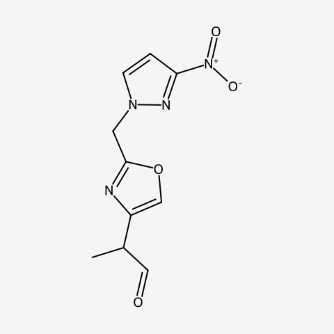 CC(C=O)c1coc(Cn2ccc([N+](=O)[O-])n2)n1